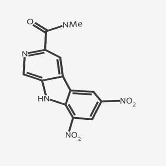 CNC(=O)c1cc2c(cn1)[nH]c1c([N+](=O)[O-])cc([N+](=O)[O-])cc12